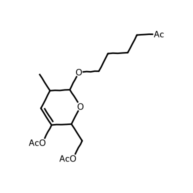 CC(=O)CCCCOC1OC(COC(C)=O)C(OC(C)=O)=CC1C